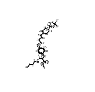 CCCCSCC(Cc1ccc(OCCCCC2CCN(C(=O)OC(C)(C)C)CC2)cc1)C(=O)OC